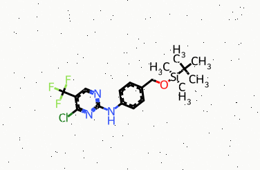 CC(C)(C)[Si](C)(C)OCc1ccc(Nc2ncc(C(F)(F)F)c(Cl)n2)cc1